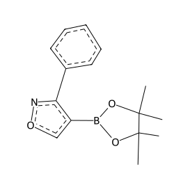 CC1(C)OB(c2conc2-c2ccccc2)OC1(C)C